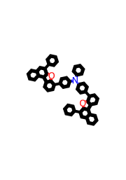 c1ccc(-c2cc3ccccc3c3c2oc2c(-c4ccc(N(c5ccccc5)c5ccc(-c6cccc7c6oc6c(-c8ccccc8)cc8ccccc8c67)cc5)cc4)cccc23)cc1